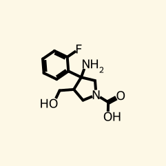 NC1(c2ccccc2F)CN(C(=O)O)CC1CO